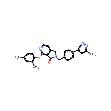 Cc1cc(-c2ccc(CN3Cc4ccnc(Oc5ccc(C(F)(F)F)cc5C)c4C3=O)cc2)cnn1